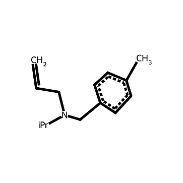 C=CCN(Cc1ccc(C)cc1)C(C)C